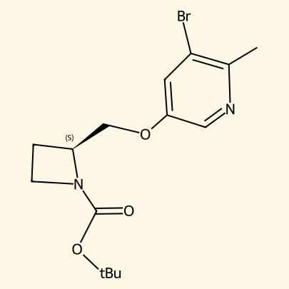 Cc1ncc(OC[C@@H]2CCN2C(=O)OC(C)(C)C)cc1Br